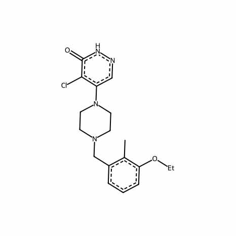 CCOc1cccc(CN2CCN(c3cn[nH]c(=O)c3Cl)CC2)c1C